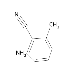 Cc1ccccc1C#N.N